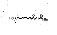 CCCCC(CC)COOC(=O)CCCCCCCCC(=O)O